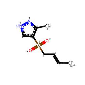 N#Cc1n[nH]cc1S(=O)(=O)CC=CC(F)(F)F